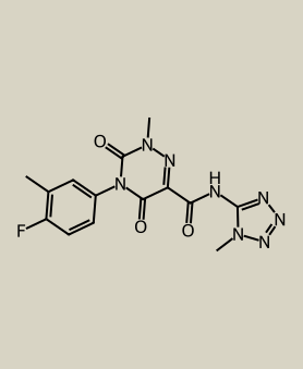 Cc1cc(-n2c(=O)c(C(=O)Nc3nnnn3C)nn(C)c2=O)ccc1F